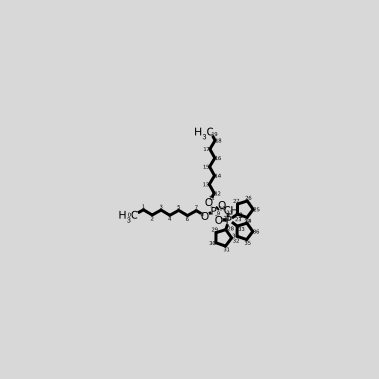 CCCCCCCCOP(=O)(OCCCCCCCC)OP(C)(C1CCCC1)(C1CCCC1)C1CCCC1